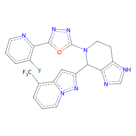 Fc1cccnc1-c1nnc(N2CCc3[nH]cnc3C2c2cc3c(C(F)(F)F)cccn3n2)o1